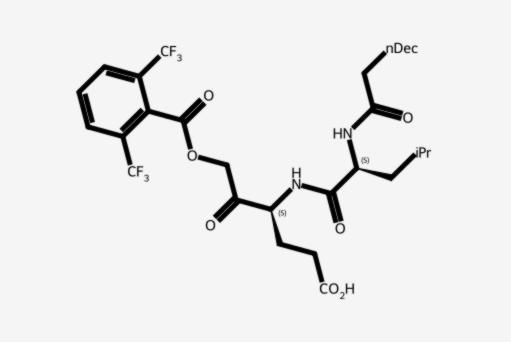 CCCCCCCCCCCC(=O)N[C@@H](CC(C)C)C(=O)N[C@@H](CCC(=O)O)C(=O)COC(=O)c1c(C(F)(F)F)cccc1C(F)(F)F